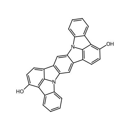 Oc1ccc2c3cc4c(cc3n3c5ccccc5c1c23)c1ccc(O)c2c3ccccc3n4c12